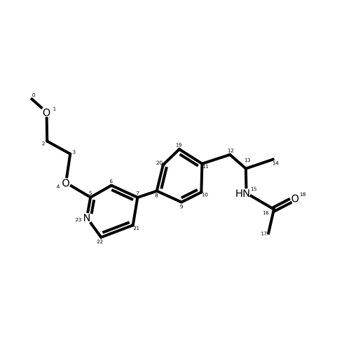 COCCOc1cc(-c2ccc(CC(C)NC(C)=O)cc2)ccn1